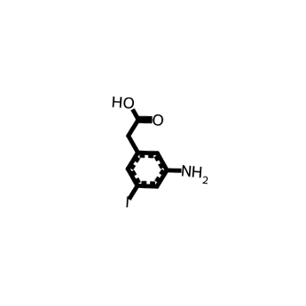 Nc1cc(I)cc(CC(=O)O)c1